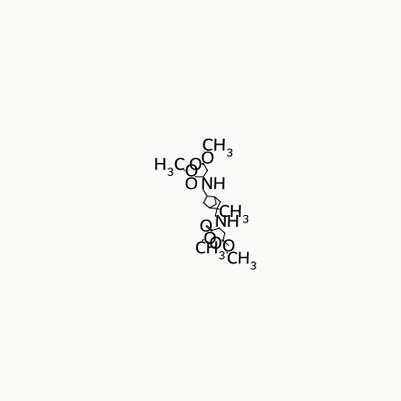 CCOC(=O)CC(NCC1CC2CC1CC2(C)CNC(CC(=O)OCC)C(=O)OCC)C(=O)OCC